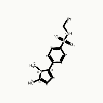 CC(C)CNS(=O)(=O)c1ccc(-c2ccc(C#N)n2C)cc1